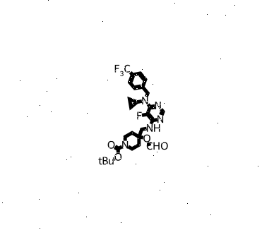 CC(C)(C)OC(=O)N1CCC(CNc2ncnc(N(Cc3ccc(C(F)(F)F)cc3)C3CC3)c2F)(OC=O)CC1